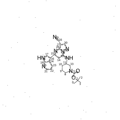 CC(C)(C)OC(=O)N1CCCC(Nc2cc(-c3c[nH]c4ncccc34)nc3c(C#N)cnn23)C1